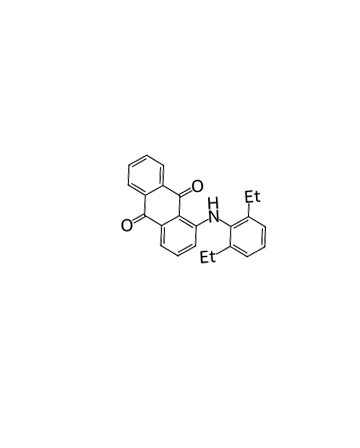 CCc1cccc(CC)c1Nc1cccc2c1C(=O)c1ccccc1C2=O